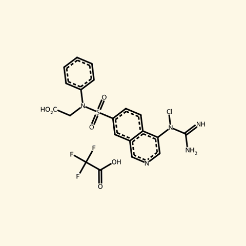 N=C(N)N(Cl)c1cncc2cc(S(=O)(=O)N(CC(=O)O)c3ccccc3)ccc12.O=C(O)C(F)(F)F